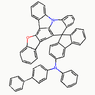 c1ccc(-c2ccc(N(c3ccccc3)c3ccc4c(c3)-c3ccccc3C43c4ccccc4-n4c5ccccc5c5c6oc7ccccc7c6cc3c54)cc2)cc1